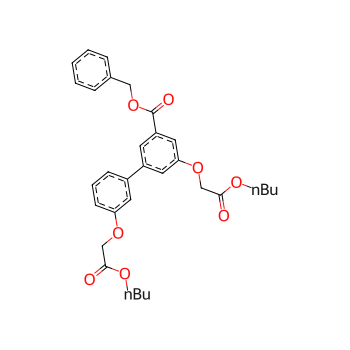 CCCCOC(=O)COc1cccc(-c2cc(OCC(=O)OCCCC)cc(C(=O)OCc3ccccc3)c2)c1